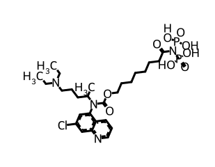 CCN(CC)CCCC(C)N(C(=O)OCCCCCCCC(=O)N(P(=O)(O)O)P(=O)(O)O)c1cc(Cl)cc2ncccc12